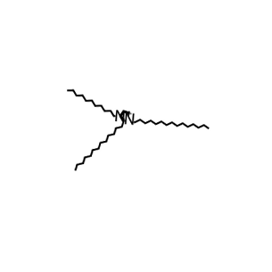 CCCCCCCCCCCCCCCn1cc[n+](CCCCCCCCCCC)c1CCCCCCCCCCCCC